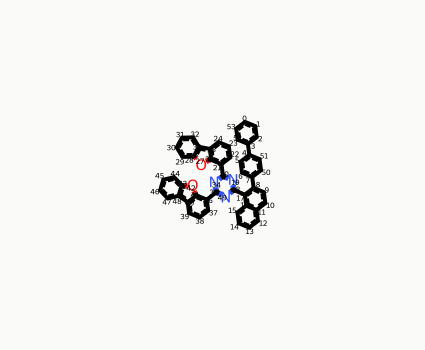 c1ccc(-c2ccc(-c3ccc4ccccc4c3-c3nc(-c4cccc5c4oc4ccccc45)nc(-c4cccc5c4oc4ccccc45)n3)cc2)cc1